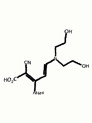 CCCCCCC(C=CN(CCO)CCO)=C(C#N)C(=O)O